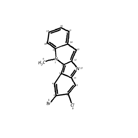 Cn1c2c3cc(Br)c(Cl)cc3nc-2cc2ccccc21